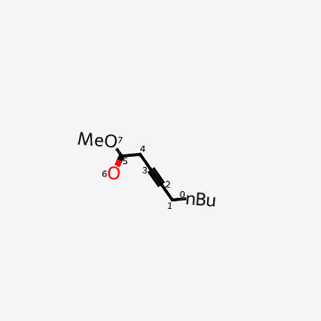 [CH2]CCCCC#CCC(=O)OC